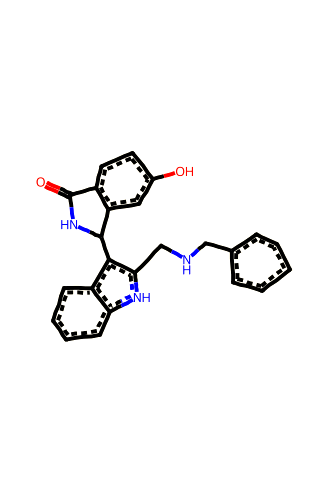 O=C1NC(c2c(CNCc3ccccc3)[nH]c3ccccc23)c2cc(O)ccc21